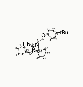 CC(C)(C)c1ccc(OCCn2c(=N)n(Cc3ccccc3)c3ccccc32)cc1